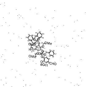 CCCCCCCCOc1cc(C=O)ccc1OP(=O)(OCc1ccccc1)O[C@H]1[C@H](OCOC)[C@@H](OP(=O)(OCc2ccccc2)OCc2ccccc2)[C@H](OP(=O)=O)[C@@H](C)[C@H]1OCOC